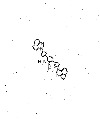 Nc1c(-c2ccc(N3C=Nc4cccc5cccc3c45)s2)ccc(-c2ccc(N3C=Nc4cccc5cccc3c45)s2)c1N